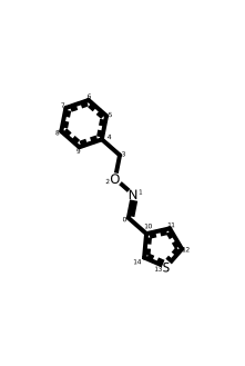 C(=NOCc1ccccc1)c1ccsc1